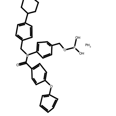 O=C(c1ccc(Oc2ccccc2)cc1)N(Cc1ccc(C2CCCCC2)cc1)c1ccc(COP(O)O)cc1.P